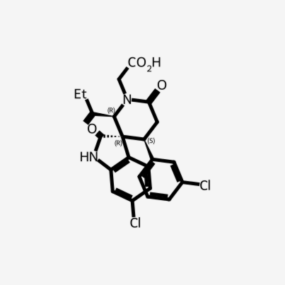 C=C(CC)[C@H]1N(CC(=O)O)C(=O)C[C@@H](c2cccc(Cl)c2)[C@]12C(=O)Nc1cc(Cl)ccc12